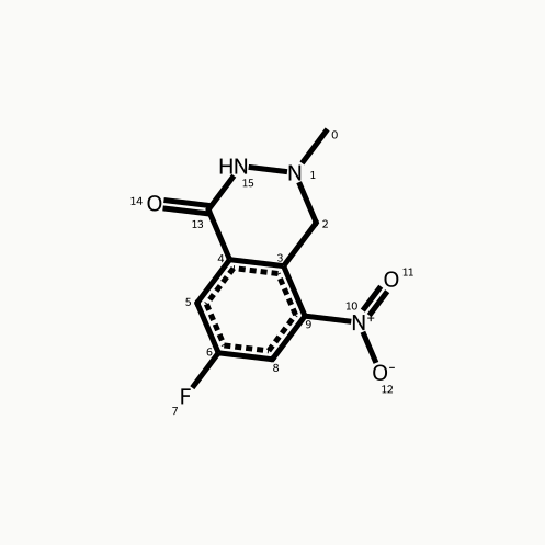 CN1Cc2c(cc(F)cc2[N+](=O)[O-])C(=O)N1